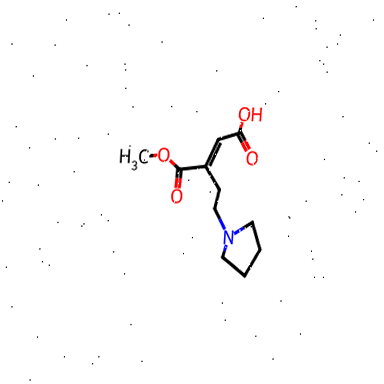 COC(=O)/C(=C/C(=O)O)CCN1CCCC1